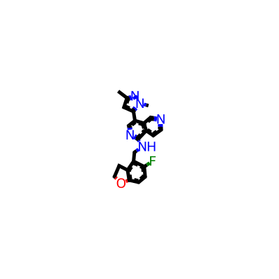 Cc1cc(-c2cnc(NCc3c(F)ccc4c3CCO4)c3ccncc23)n(C)n1